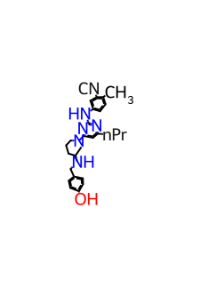 CCCc1cc(N2CCCC(NCc3ccc(O)cc3)C2)nc(Nc2ccc(C)c(C#N)c2)n1